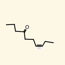 CC/C=C\CCC(=O)CCC